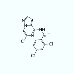 C[C@@H](Nc1nc(Cl)cn2nccc12)c1ccc(Cl)cc1Cl